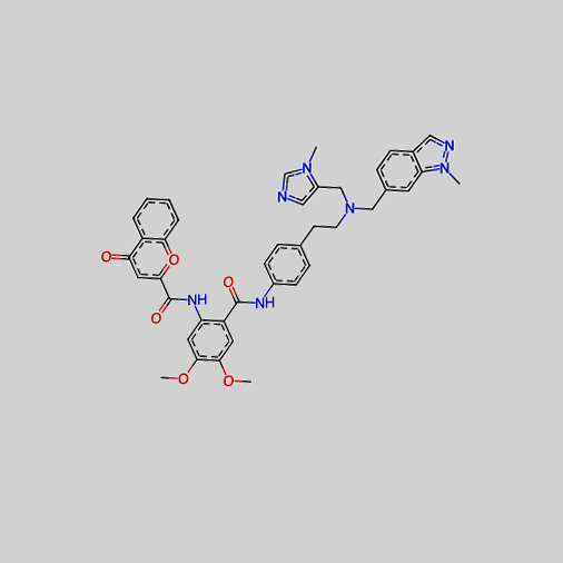 COc1cc(NC(=O)c2cc(=O)c3ccccc3o2)c(C(=O)Nc2ccc(CCN(Cc3ccc4cnn(C)c4c3)Cc3cncn3C)cc2)cc1OC